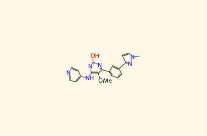 COc1c(Nc2ccncc2)nc(O)nc1-c1cccc(-c2ccn(C)n2)c1